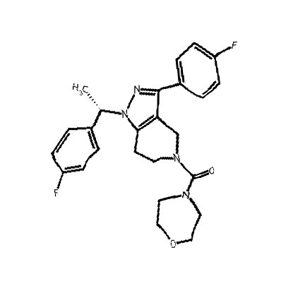 C[C@@H](c1ccc(F)cc1)n1nc(-c2ccc(F)cc2)c2c1CCN(C(=O)N1CCOCC1)C2